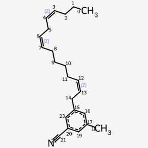 CCC/C=C\C/C=C\CCCC/C=C\Cc1cc(C)cc(C#N)c1